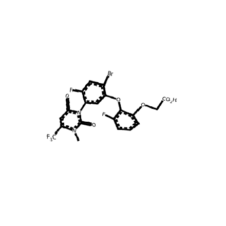 Cn1c(C(F)(F)F)cc(=O)n(-c2cc(Oc3c(F)cccc3OCC(=O)O)c(Br)cc2F)c1=O